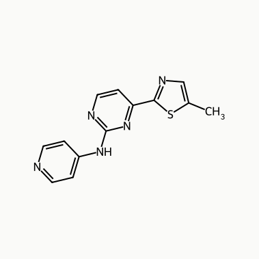 Cc1cnc(-c2ccnc(Nc3ccncc3)n2)s1